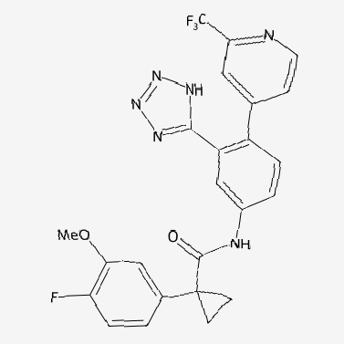 COc1cc(C2(C(=O)Nc3ccc(-c4ccnc(C(F)(F)F)c4)c(-c4nnn[nH]4)c3)CC2)ccc1F